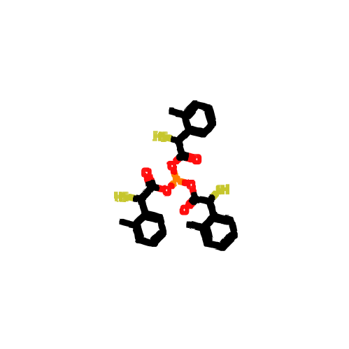 Cc1ccccc1C(S)C(=O)OP(OC(=O)C(S)c1ccccc1C)OC(=O)C(S)c1ccccc1C